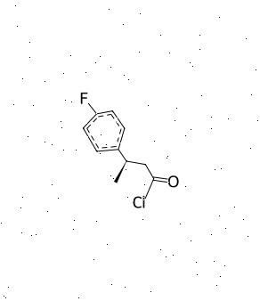 C[C@H](CC(=O)Cl)c1ccc(F)cc1